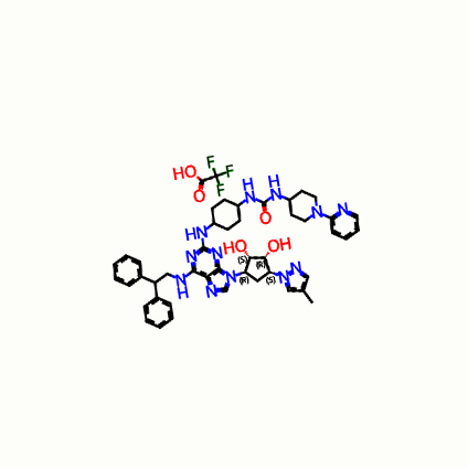 Cc1cnn([C@H]2C[C@@H](n3cnc4c(NCC(c5ccccc5)c5ccccc5)nc(NC5CCC(NC(=O)NC6CCN(c7ccccn7)CC6)CC5)nc43)[C@H](O)[C@@H]2O)c1.O=C(O)C(F)(F)F